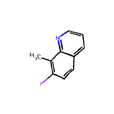 Cc1c(I)ccc2cccnc12